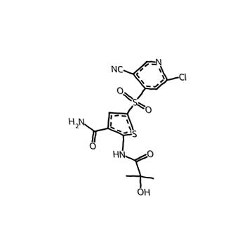 CC(C)(O)C(=O)Nc1sc(S(=O)(=O)c2cc(Cl)ncc2C#N)cc1C(N)=O